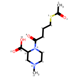 CC(=O)SCCCC(=O)N1CCN(C)CC1C(=O)O